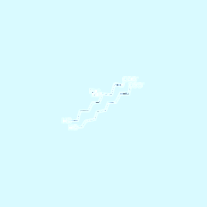 O=C([O-])C=CCCCCCCCO.O=C([O-])C=CCCCCCCCO.[Na+].[Na+]